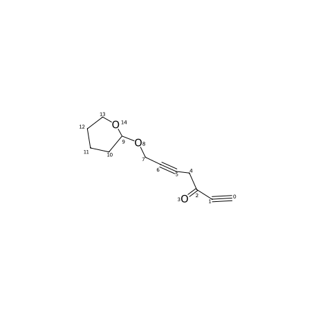 C#CC(=O)CC#CCOC1CCCCO1